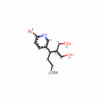 CSCCC(c1ccc(Br)nc1)C(CO)CO